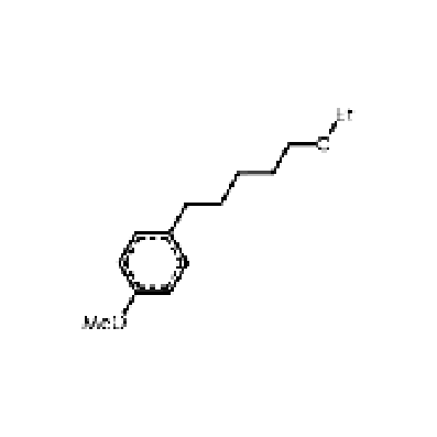 [CH2]COCCCCCc1ccc(OC)cc1